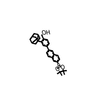 CC1(C)OB(c2ccc3cc(-c4ccc(CO)c(C56CC7CC(CC(C7)C5)C6)c4)ccc3c2)OC1(C)C